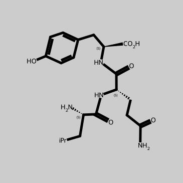 CC(C)C[C@H](N)C(=O)N[C@@H](CCC(N)=O)C(=O)N[C@@H](Cc1ccc(O)cc1)C(=O)O